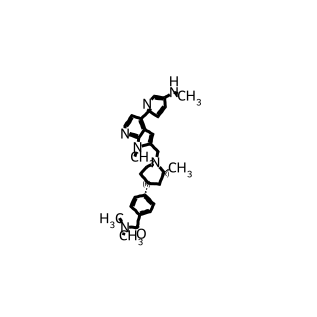 CNc1ccc(-c2ccnc3c2cc(CN2CC[C@@H](c4ccc(C(=O)N(C)C)cc4)C[C@H]2C)n3C)nc1